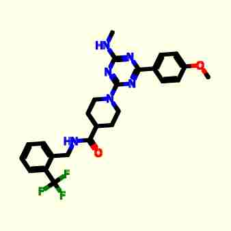 CNc1nc(-c2ccc(OC)cc2)nc(N2CCC(C(=O)NCc3ccccc3C(F)(F)F)CC2)n1